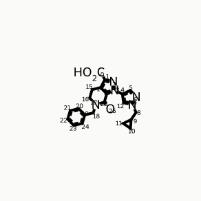 O=C(O)c1nn(-c2cnn(CC3CC3)c2)c2c1CCN(Cc1ccccc1)C2=O